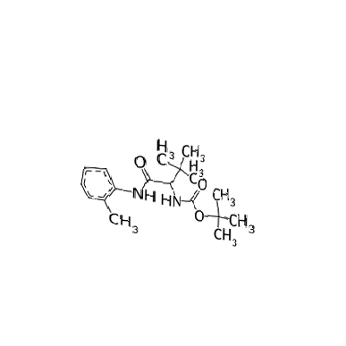 Cc1ccccc1NC(=O)C(NC(=O)OC(C)(C)C)C(C)(C)C